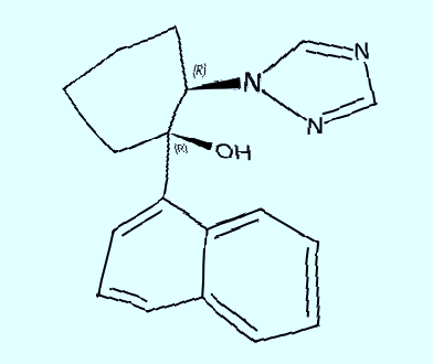 O[C@@]1(c2cccc3ccccc23)CCCC[C@H]1n1cncn1